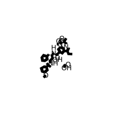 CCc1cn2c3c(cc(C(=O)N[C@@H](Cc4ccccc4)[C@H](O)CNC(C)(C)c4cccc(OC)c4)cc13)N(C)S(=O)(=O)C(C)C2.O=CO